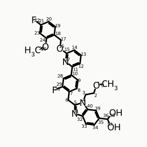 COCCn1c(Cc2ccc(-c3cccc(OCc4ccc(F)cc4OC)n3)cc2F)nc2ccc(C(O)O)cc21